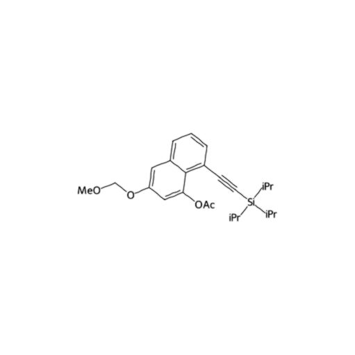 COCOc1cc(OC(C)=O)c2c(C#C[Si](C(C)C)(C(C)C)C(C)C)cccc2c1